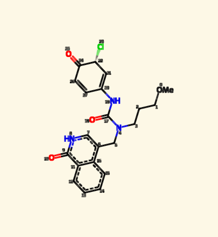 COCCCN(Cc1c[nH]c(=O)c2ccccc12)C(=O)NC1=C[C@@H](Cl)C(=O)C=C1